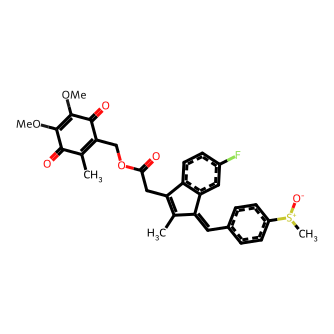 COC1=C(OC)C(=O)C(COC(=O)CC2=C(C)/C(=C/c3ccc([S+](C)[O-])cc3)c3cc(F)ccc32)=C(C)C1=O